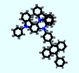 c1ccc(-c2c3ccccc3c(-c3ccc(N(c4ccccc4)c4ccc5c(c4-n4c6ccccc6c6ccccc64)c4ccccc4n5-c4ccccc4)cc3)c3ccccc23)cc1